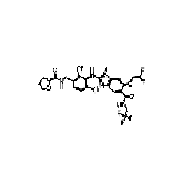 Cn1c(Nc2c(Cl)ccc(CNC(=O)C3CCCO3)c2Cl)nc2cc(C(=O)NCC(F)(F)F)c(OCC(F)F)cc21